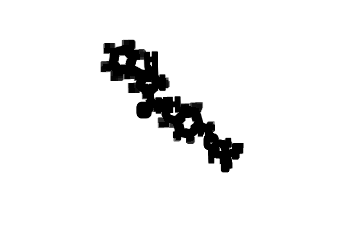 CC(F)(F)COCc1ccc(CNC(=O)c2cc(-c3ccccc3)[nH]n2)cc1